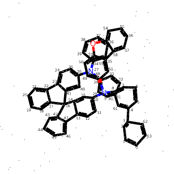 c1ccc(-c2cccc(N(c3ccc4c(c3)C3(c5ccccc5-c5ccc(N(c6ccccc6)c6ccccc6)cc53)c3ccccc3-4)c3ccc4oc5ccccc5c4c3)c2)cc1